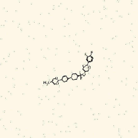 CC1COC(C2CCC(C3CCC(C(F)(F)OC4COC(c5ccc(F)c(F)c5)OC4)CC3)CC2)OC1